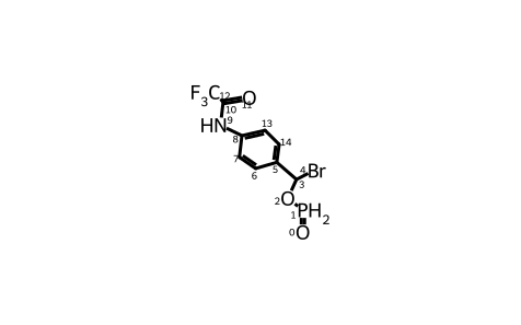 O=[PH2]OC(Br)c1ccc(NC(=O)C(F)(F)F)cc1